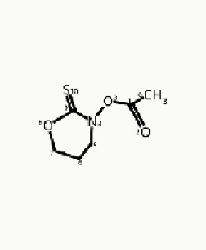 CC(=O)ON1CCCOC1=S